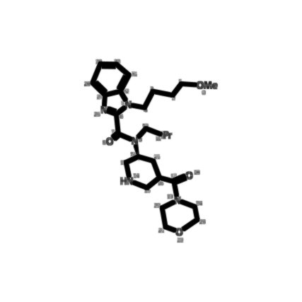 COCCCCn1c(C(=O)N(CC(C)C)[C@@H]2CNCC(C(=O)N3CCOCC3)C2)nc2ccccc21